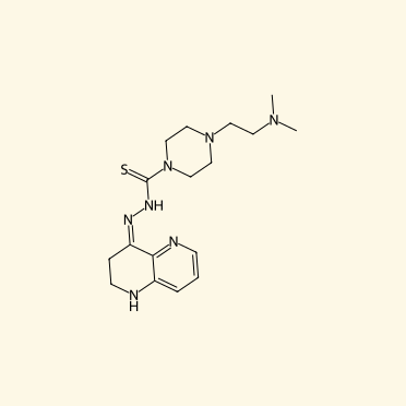 CN(C)CCN1CCN(C(=S)N/N=C2/CCNc3cccnc32)CC1